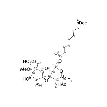 CCCCCCCCCCCCCCCCCC(=O)OCC1O[C@@H](C)C(NC(C)=O)[C@@H](O[C@@H]2OC(CC(=O)O)[C@@H](OC)[C@H](O)C2O)[C@@H]1O